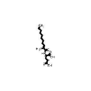 CCCCCCCC/C=C(\C)C(=O)NC(CCC(=O)O)C(=O)O